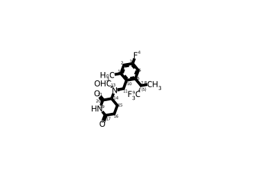 Cc1cc(F)cc([C@H](C)C(F)(F)F)c1CN(C=O)C1CCC(=O)NC1=O